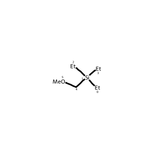 CC[Si](CC)(CC)COC